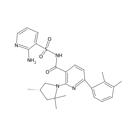 Cc1cccc(-c2ccc(C(=O)NS(=O)(=O)c3cccnc3N)c(N3C[C@@H](C)CC3(C)C)n2)c1C